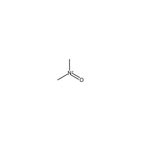 C[N+](C)=O